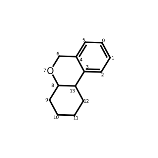 c1ccc2c(c1)COC1CCCCC21